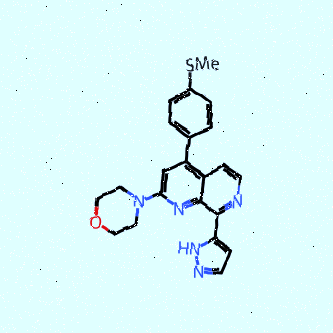 CSc1ccc(-c2cc(N3CCOCC3)nc3c(-c4ccn[nH]4)nccc23)cc1